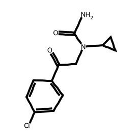 NC(=O)N(CC(=O)c1ccc(Cl)cc1)C1CC1